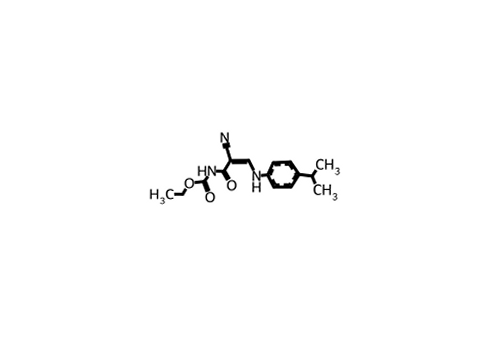 CCOC(=O)NC(=O)/C(C#N)=C\Nc1ccc(C(C)C)cc1